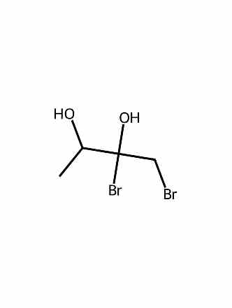 CC(O)C(O)(Br)CBr